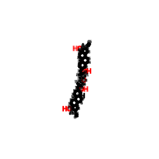 C#C[C@@H]1CC2C3CC[C@H]4C[C@](O)(CC(C)(C)[Si](C)(C)O[Si](C)(C)C(C)(C)C[C@@]5(O)CC[C@@]6(C)C(CCC7C6CC[C@@]6(C)C7C[C@H](C#C)[C@]6(O)C(C)=O)C5)CC[C@]4(C)C3CC[C@]2(C)[C@]1(O)C(C)=O